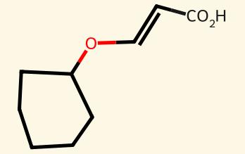 O=C(O)C=COC1CCCCC1